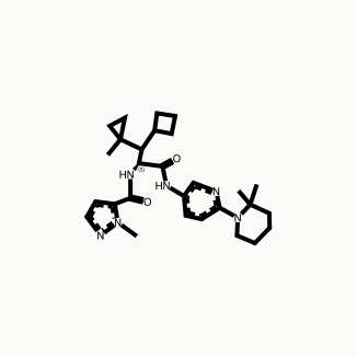 Cn1nccc1C(=O)N[C@H](C(=O)Nc1ccc(N2CCCCC2(C)C)nc1)C(C1CCC1)C1(C)CC1